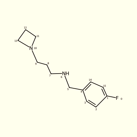 Fc1ccc(CNCCCN2CCC2)cc1